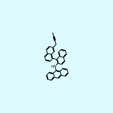 CC#CCc1ccc2cccc(-c3c(Nc4c5ccccc5cc5ccccc45)ccc4ccccc34)c2c1